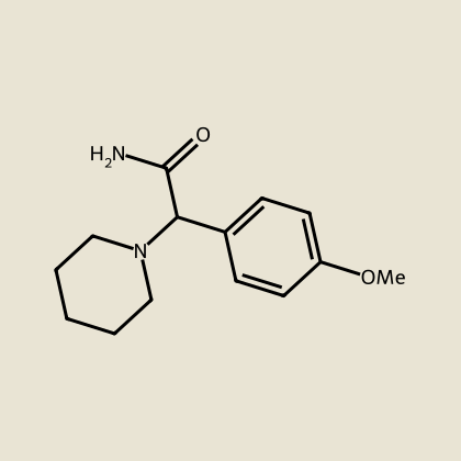 COc1ccc(C(C(N)=O)N2CCCCC2)cc1